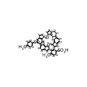 C1=C[CH]([Zr][CH]2C=CC3=C2CCCC3)C2=C1CCCC2.C1=C[CH]([Zr][CH]2C=Cc3ccccc32)c2ccccc21.Cc1ccc(S(=O)(=O)O)cc1.Cc1ccc(S(=O)(=O)O)cc1